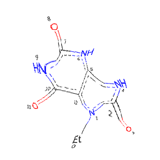 CCn1c(=O)[nH]c2[nH]c(=O)[nH]c(=O)c21